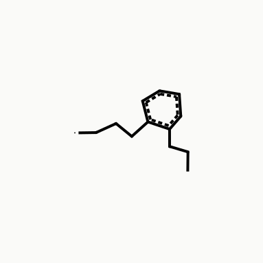 [CH2]CCCc1ccccc1CCC